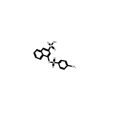 Cc1ccc(S(=O)(=O)Oc2cc(S(=O)(=O)O)cc3ccccc23)cc1